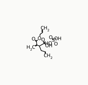 C=CCOC(=O)C(=C)C(CC=C)C(=O)O.O=S(=O)(O)O